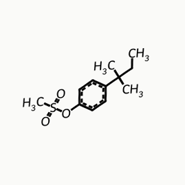 CCC(C)(C)c1ccc(OS(C)(=O)=O)cc1